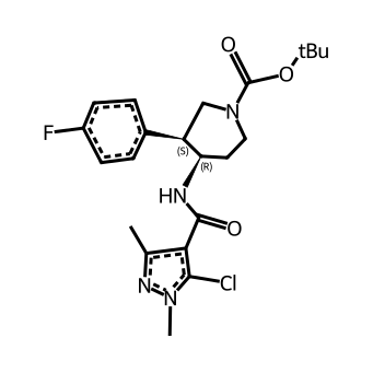 Cc1nn(C)c(Cl)c1C(=O)N[C@@H]1CCN(C(=O)OC(C)(C)C)C[C@@H]1c1ccc(F)cc1